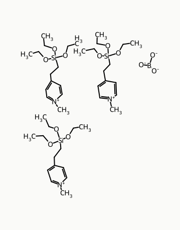 CCO[Si](CCc1cc[n+](C)cc1)(OCC)OCC.CCO[Si](CCc1cc[n+](C)cc1)(OCC)OCC.CCO[Si](CCc1cc[n+](C)cc1)(OCC)OCC.[O-]B([O-])[O-]